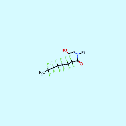 CCN(CCO)C(=O)C(F)(F)C(F)(F)C(F)(F)C(F)(F)C(F)(F)C(F)(F)C(F)(F)F